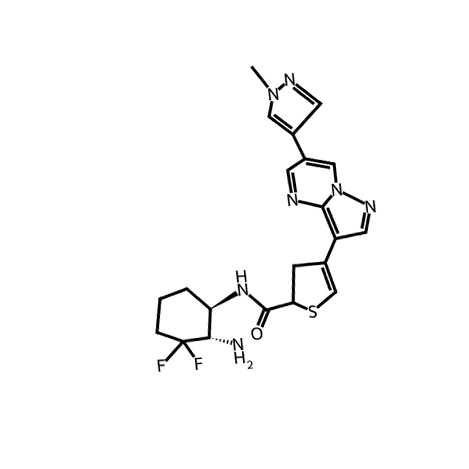 Cn1cc(-c2cnc3c(C4=CSC(C(=O)N[C@@H]5CCCC(F)(F)[C@H]5N)C4)cnn3c2)cn1